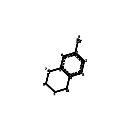 Brc1ccc2c(c1)SCCC2